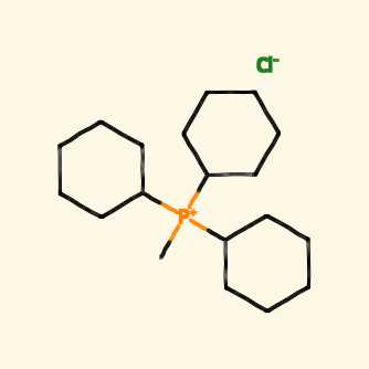 C[P+](C1CCCCC1)(C1CCCCC1)C1CCCCC1.[Cl-]